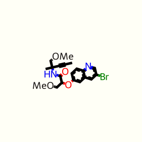 CC#CC(C)(COC)NC(=O)C(COC)Oc1ccc2ncc(Br)cc2c1